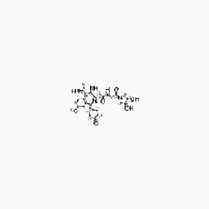 COc1ccc2c(c1)C(c1ccc(Cl)cc1)=N[C@@H](CC(=O)NCC(=O)N1C[C@@H](O)[C@@H](O)C1)C(=N)N2C(C)=N